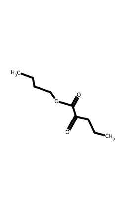 CCCCOC(=O)C(=O)CCC